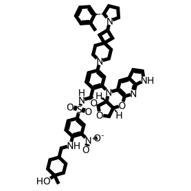 Cc1ccccc1[C@@H]1CCCN1C1CC2(CCN(c3ccc(C(=O)NS(=O)(=O)c4ccc(NCC5CCC(C)(O)CC5)c([N+](=O)[O-])c4)c(N4c5cc6cc[nH]c6nc5O[C@H]5COC[C@@H]54)c3)CC2)C1